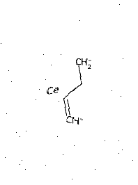 [CH-]=CC[CH2-].[Ce]